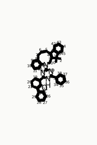 CC1(C)C2=C(/C=C\Cc3ccccc3N(C3=NC(C4=CCCc5c4oc4ccccc54)NC(c4ccccc4)=N3)C2)c2ccccc21